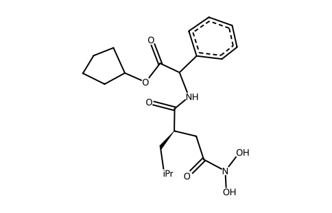 CC(C)C[C@H](CC(=O)N(O)O)C(=O)NC(C(=O)OC1CCCC1)c1ccccc1